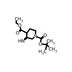 CCOC(=O)C1CCN(C(=O)OC(C)(C)C)CC1=N